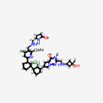 COc1nc(-c2cccc(-c3cccc(-c4cc5c(=O)n(C)c(CNC6CC(C)(O)C6)nn5c4)c3Cl)c2Cl)cc(F)c1CNC[C@H]1CCC(=O)N1